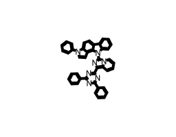 c1ccc(-c2nc(-c3ccccc3)nc(-c3nc(-n4c5ccccc5c5ccc6c(ccn6-c6ccccc6)c54)n4ccccc34)n2)cc1